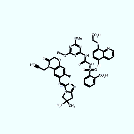 C#CCN1C(=O)COc2cc(F)c(/N=c3\snc4n3CC(C)(C)C4)cc21.CCOc1nc(NC)nc(NC(=O)NS(=O)(=O)c2ccccc2C(=O)O)n1.O=C(O)COc1ccc(Cl)c2cccnc12